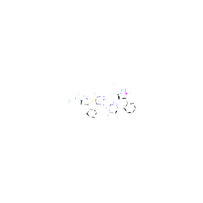 Clc1nc(Oc2nc(Cl)c(Cl)c(-c3ccccc3-c3cc(C(Cl)Cl)no3)n2)nc(-c2ccccc2-c2cc(C(Cl)Cl)no2)c1Cl